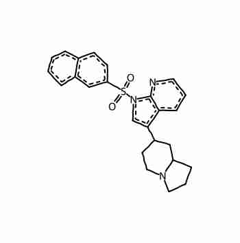 O=S(=O)(c1ccc2ccccc2c1)n1cc(C2CCN3CCCC3C2)c2cccnc21